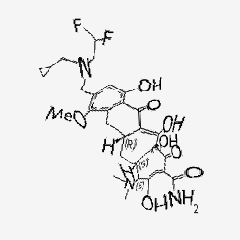 COc1c(CN(CC(F)F)CC2CC2)cc(O)c2c1C[C@H]1C[C@H]3[C@H](N(C)C)C(O)=C(C(N)=O)C(=O)[C@@]3(O)C(O)=C1C2=O